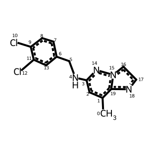 Cc1cc(NCc2ccc(Cl)c(Cl)c2)nn2ccnc12